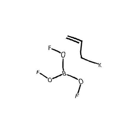 C=C[CH2][K].FOB(OF)OF